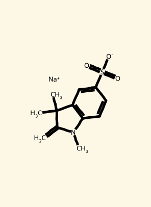 C=C1N(C)c2ccc(S(=O)(=O)[O-])cc2C1(C)C.[Na+]